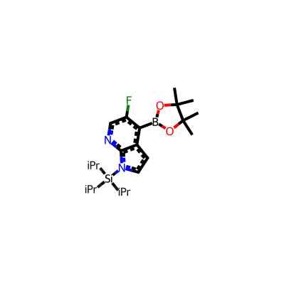 CC(C)[Si](C(C)C)(C(C)C)n1ccc2c(B3OC(C)(C)C(C)(C)O3)c(F)cnc21